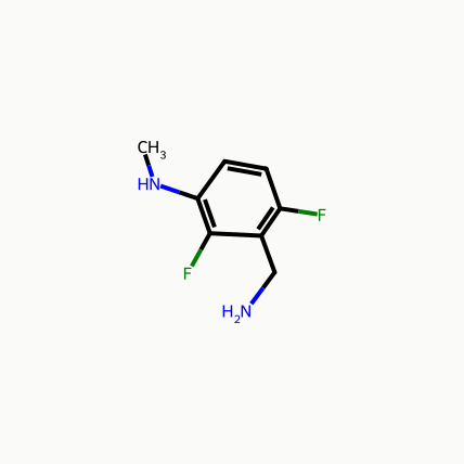 CNc1ccc(F)c(CN)c1F